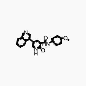 COc1ccc(NC(=O)c2cc(-c3cncc4ccccc34)c[nH]c2=O)cc1